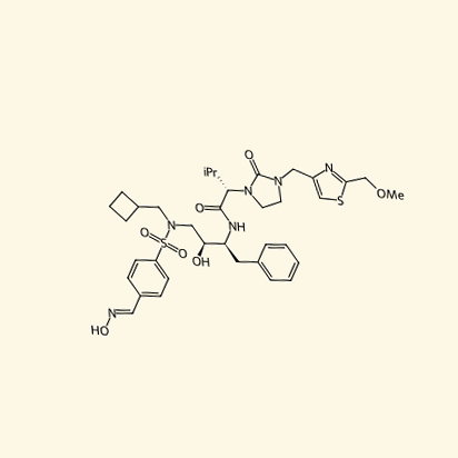 COCc1nc(CN2CCN([C@H](C(=O)N[C@@H](Cc3ccccc3)[C@@H](O)CN(CC3CCC3)S(=O)(=O)c3ccc(C=NO)cc3)C(C)C)C2=O)cs1